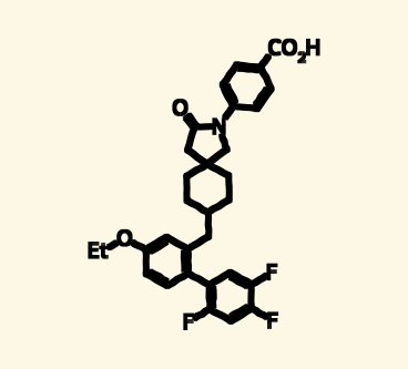 CCOc1ccc(-c2cc(F)c(F)cc2F)c(CC2CCC3(CC2)CC(=O)N(c2ccc(C(=O)O)cc2)C3)c1